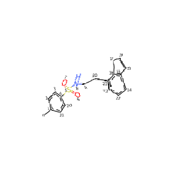 Cc1ccc(S(=O)(=O)NCCc2cccc3c2CC=C3)cc1